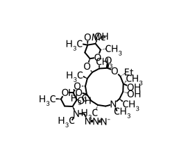 CC[C@H]1OC(=O)[C@H](C)[C@@H](O[C@H]2C[C@@](C)(OC)[C@@H](O)[C@H](C)O2)[C@H](C)[C@@H](O[C@@H]2O[C@H](C)C[C@H](N(C)CN=[N+]=[N-])[C@H]2O)[C@](C)(O)C[C@@H](C)CN(C)[C@H](C)[C@@H](O)[C@]1(C)O